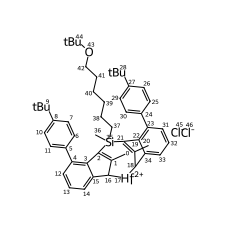 CC1=C2c3c(-c4ccc(C(C)(C)C)cc4)cccc3[CH]1[Hf+2][CH]1C(C)=C(c3c(-c4ccc(C(C)(C)C)cc4)cccc31)[Si]2(C)CCCCCCOC(C)(C)C.[Cl-].[Cl-]